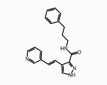 O=C(NCCCc1ccccc1)c1n[nH]cc1C=Cc1cccnc1